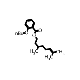 CCCCOc1ccccc1C(=O)OCCC(C)CCC=C(C)C